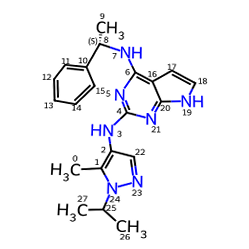 Cc1c(Nc2nc(N[C@@H](C)c3ccccc3)c3cc[nH]c3n2)cnn1C(C)C